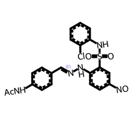 CC(=O)Nc1ccc(/C=N/Nc2ccc([N+](=O)[O-])cc2S(=O)(=O)Nc2ccccc2Cl)cc1